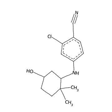 CC1(C)CCC(O)CC1Nc1ccc(C#N)c(Cl)c1